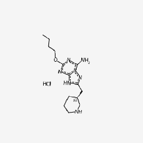 CCCCOc1nc(N)c2nc(C[C@@H]3CCCNC3)[nH]c2n1.Cl